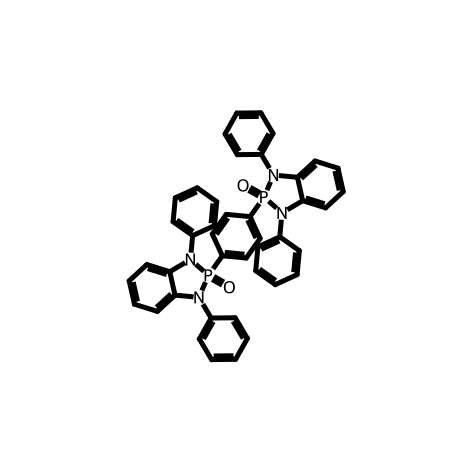 O=P1(c2ccc(P3(=O)N(c4ccccc4)c4ccccc4N3c3ccccc3)cc2)N(c2ccccc2)c2ccccc2N1c1ccccc1